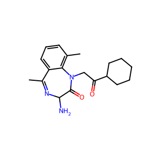 CC1=NC(N)C(=O)N(CC(=O)C2CCCCC2)c2c(C)cccc21